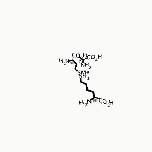 CSCC[C@H](N)C(=O)O.C[C@H](N)C(=O)O.NCCCC[C@H](N)C(=O)O